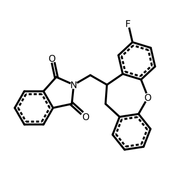 O=C1c2ccccc2C(=O)N1CC1Cc2ccccc2Oc2ccc(F)cc21